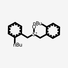 CCCCc1ccccc1C[S+]([O-])Cc1ccccc1CCCC